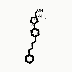 N[C@]1(CO)CC[C@H](c2ccc(CCCCc3ccccc3)cc2)C1